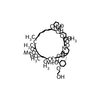 CO[C@@H]1C[C@H](C[C@H]2C3CCN4C(=O)C(=O)[C@]5(O)O[C@@H](CC[C@H]5C)C[C@@H](N5CCCS5(=O)=O)/C(C)=C/C=C/C=C/[C@@H](C)C[C@@H](C)C(=O)[C@H](OC)[C@H](O)/C(C)=C/[C@@H](C)CC[C@@H]2OC(=O)[C@@H]4C3)CC[C@H]1OCCO